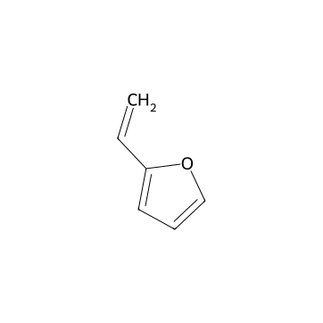 C=Cc1ccco1